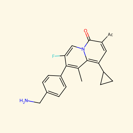 CC(=O)c1cc(C2CC2)c2c(C)c(-c3ccc(CN)cc3)c(F)cn2c1=O